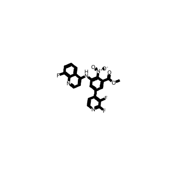 COC(=O)c1cc(-c2ccnc(F)c2F)cc(Nc2ccnc3c(F)cccc23)c1[N+](=O)[O-]